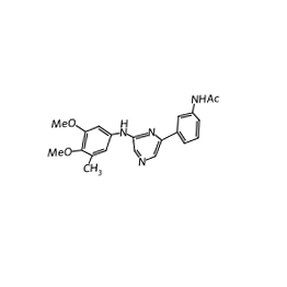 COc1cc(Nc2cncc(-c3cccc(NC(C)=O)c3)n2)cc(C)c1OC